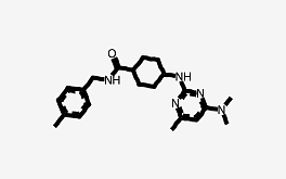 Cc1ccc(CNC(=O)C2CCC(Nc3nc(C)cc(N(C)C)n3)CC2)cc1